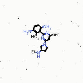 CCCc1cc(N2CCC(NCC)C2)nc(-c2c(N)ccc(N)c2[N+](=O)[O-])n1